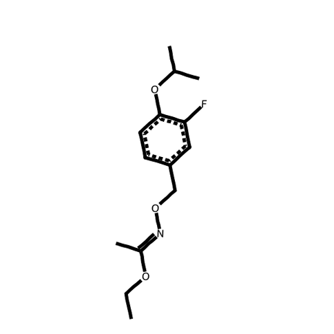 CCO/C(C)=N/OCc1ccc(OC(C)C)c(F)c1